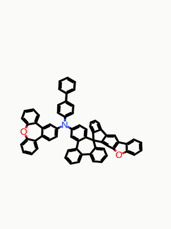 c1ccc(-c2ccc(N(c3ccc4c(c3)-c3ccccc3Oc3ccccc3-4)c3ccc4c(c3)-c3ccccc3-c3ccccc3C43c4ccccc4-c4cc5c(cc43)oc3ccccc35)cc2)cc1